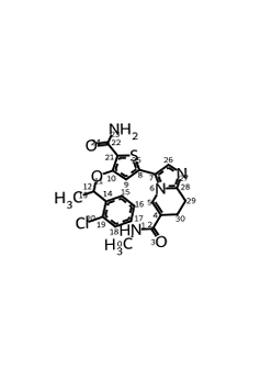 CNC(=O)C1=Cn2c(-c3cc(OC(C)c4ccccc4Cl)c(C(N)=O)s3)cnc2CC1